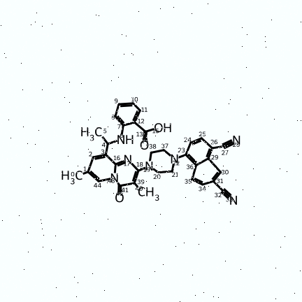 Cc1cc(C(C)Nc2ccccc2C(=O)O)c2nc(N3CCN(c4ccc(C#N)c5cc(C#N)ccc45)CC3)c(C)c(=O)n2c1